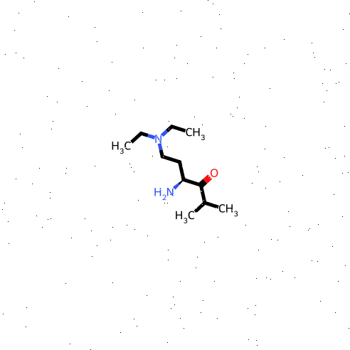 CCN(CC)CC[C@H](N)C(=O)C(C)C